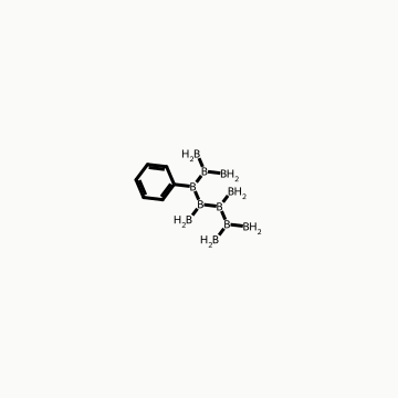 BB(B)B(B)B(B)B(B(B)B)c1ccccc1